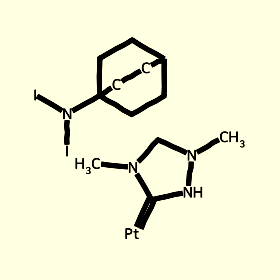 CN1CN(C)[C](=[Pt])N1.IN(I)C12CCC(CC1)CC2